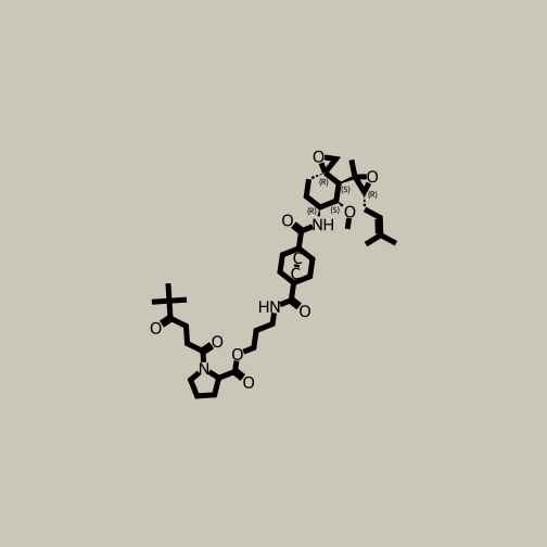 CO[C@H]1[C@H](C2(C)O[C@@H]2CC=C(C)C)[C@]2(CC[C@H]1NC(=O)C13CCC(C(=O)NCCCOC(=O)C4CCCN4C(=O)CCC(=O)C(C)(C)C)(CC1)CC3)CO2